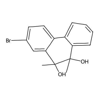 CC1(O)c2ccccc2-c2ccc(Br)cc2C1(C)O